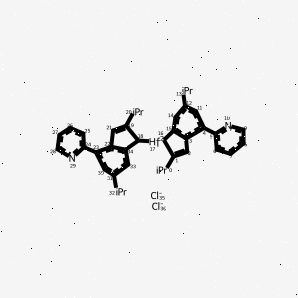 CC(C)C1=Cc2c(-c3ccccn3)cc(C(C)C)cc2[CH]1[Hf+2][CH]1C(C(C)C)=Cc2c(-c3ccccn3)cc(C(C)C)cc21.[Cl-].[Cl-]